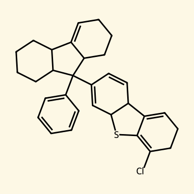 ClC1=C2SC3C=C(C4(c5ccccc5)C5CCCC=C5C5CCCCC54)C=CC3C2=CCC1